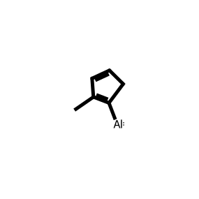 CC1=[C]([Al])CC=C1